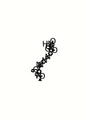 CC1CCc2c(ccc(-c3cnn(C4CCN(C5CN(c6ccc7c(c6)C(=O)N(C6CCC(=O)NC6=O)C7=O)C5)CC4)c3)c2OC2CCC2)N1C(=O)C1CC1